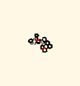 CC(C)(C)c1ccc(C2C=CC=CC2(C)N(c2ccc3c(c2)c2ccccc2n3-c2ccccc2)c2ccccc2-c2cccc3cccc(C4CCCCC4)c23)cc1